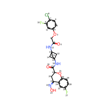 O=C(COc1ccc(Cl)c(F)c1)NC12CC(NC(=O)C3C/C(=N/O)c4cc(F)ccc4O3)(C1)C2